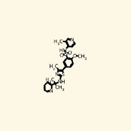 COc1ccc(-c2sc(NC(C)(C)c3ccccn3)nc2C)cc1S(=O)(=O)Nc1ccncc1C